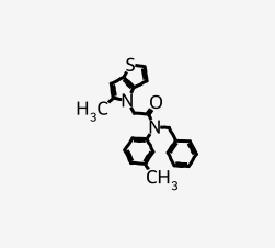 Cc1cccc(N(Cc2ccccc2)C(=O)Cn2c(C)cc3sccc32)c1